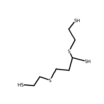 SCCSCCC(S)SCCS